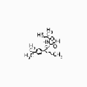 CCCCC(SC[C@H](NC(=O)[C@H](C)CS)C(=O)O)c1ccc(C(C)C)cc1